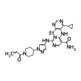 C=CC(=O)N1CCC(n2cc(Nc3ncc(C(N)=O)c(Nc4c(CC)ncnc4C4CC4)n3)cn2)CC1